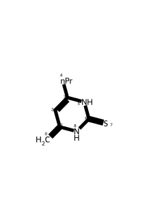 C=C1C=C(CCC)NC(=S)N1